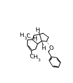 CC1=CC[C@@]2(C)C[C@@H]3CC[C@H](OCc4ccccc4)[C@@H]3[C@H]2C1